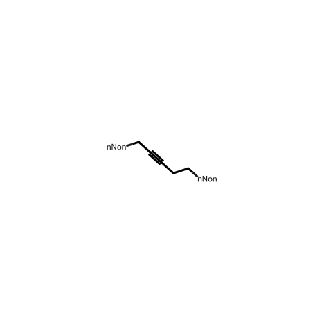 [CH2]CCCCCCCCCC#CCCCCCCCCCC[CH2]